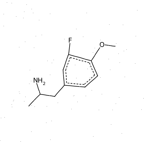 COc1ccc(CC(C)N)cc1F